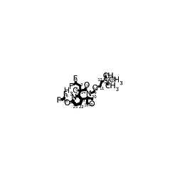 CC1(CC(F)F)C(=O)N(COCC[Si](C)(C)C)C2(COC2)c2ccc(OC(F)F)nc21